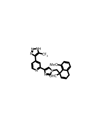 COc1cccc2c1C(C=O)(Cn1cnc(-c3cc(-c4nn[nH]c4C(F)(F)F)ccn3)c1)C=CC2